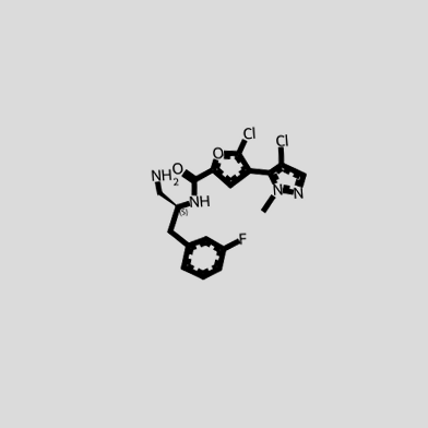 Cn1ncc(Cl)c1-c1cc(C(=O)N[C@H](CN)Cc2cccc(F)c2)oc1Cl